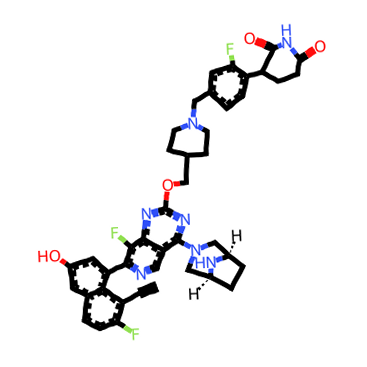 C#Cc1c(F)ccc2cc(O)cc(-c3ncc4c(N5C[C@H]6CC[C@@H](C5)N6)nc(OCC5CCN(Cc6ccc(C7CCC(=O)NC7=O)c(F)c6)CC5)nc4c3F)c12